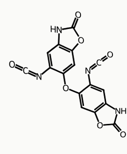 O=C=Nc1cc2[nH]c(=O)oc2cc1Oc1cc2oc(=O)[nH]c2cc1N=C=O